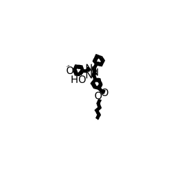 CCCCCCOC(=O)c1ccc(-c2nc(-c3ccccc3)nc(-c3ccc(OC)cc3O)n2)cc1